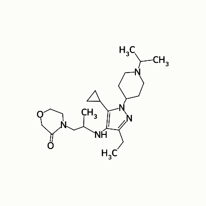 CCc1nn(C2CCN(C(C)C)CC2)c(C2CC2)c1NC(C)CN1CCOCC1=O